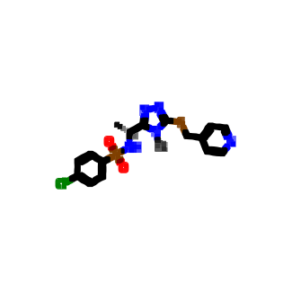 CCn1c(SCc2ccncc2)nnc1[C@@H](C)NS(=O)(=O)c1ccc(Cl)cc1